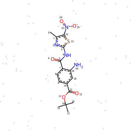 Cc1nc(NC(=O)c2ccc(C(=O)OC(C)(C)C)cc2N)sc1[N+](=O)[O-]